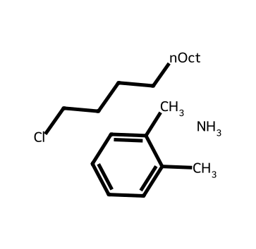 CCCCCCCCCCCCCl.Cc1ccccc1C.N